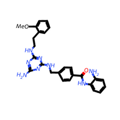 COc1ccccc1CCNc1nc(N)nc(NCc2ccc(C(=O)Nc3ccccc3N)cc2)n1